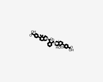 CC1(C)C(c2ccc(C(=O)O)cc2)=CC[C@]2(C)CN(C(=O)c3ccccc3C(=O)N3CC=C4C(O)(O)C(c5ccc(C(=O)O)cc5)=CC[C@]4(C)C3)CC=C12